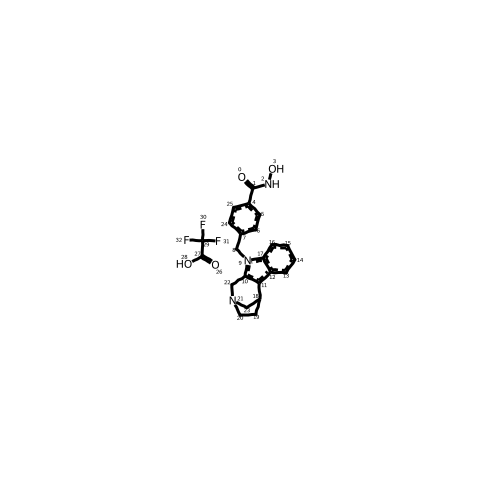 O=C(NO)c1ccc(Cn2c3c(c4ccccc42)C2CCN(C3)C2)cc1.O=C(O)C(F)(F)F